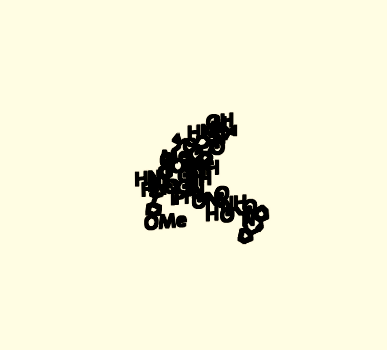 COc1ccc(C2=CN3C(=O)c4cc(OC)c(OCCCC5(COC6CC7NC(O)[C@@H]8CC9(CC9)CN8C(=O)C7(Cc7ccc(NC(=O)[C@H](C)NC(=O)[C@@H](NC(=O)CNC(=O)CNC(=O)CCC(=O)N8Cc9ccccc9C#Cc9ccccc98)C(C)C)cc7)CC6OC)CC5)cc4NC[C@@H]3C2)cc1